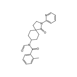 Cc1ccccc1C(=O)N(C=O)C1CCC2(CC1)CCN(c1ccccn1)C2=O